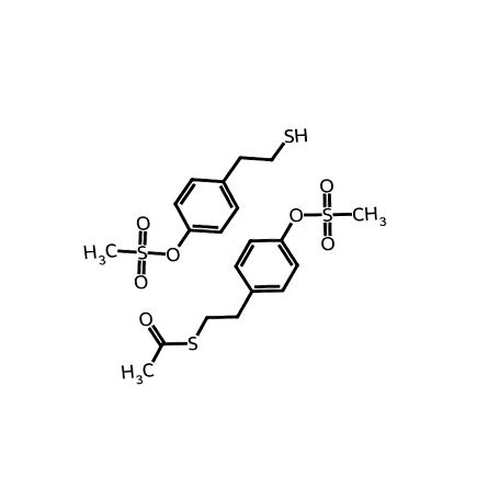 CC(=O)SCCc1ccc(OS(C)(=O)=O)cc1.CS(=O)(=O)Oc1ccc(CCS)cc1